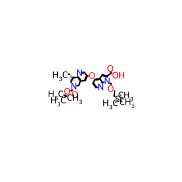 CC[C@H]1CN(C(=O)OC(C)(C)C)Cc2cc(Oc3ccnc4c3cc(C(=O)O)n4COCC[Si](C)(C)C)cnc21